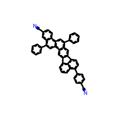 N#Cc1ccc(-c2ccc3c4c(cccc24)-c2cc4c(cc2-3)c(-c2ccccc2)cc2c3ccc(C#N)cc3c(-c3ccccc3)cc42)cc1